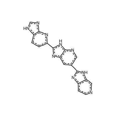 c1cc2nc(-c3cnc4[nH]c(-c5ccc6[nH]cnc6n5)nc4c3)[nH]c2cn1